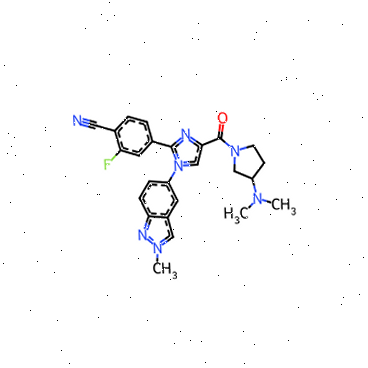 CN(C)C1CCN(C(=O)c2cn(-c3ccc4nn(C)cc4c3)c(-c3ccc(C#N)c(F)c3)n2)C1